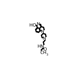 CCC(=O)NCCCN1CCC(N2CCc3cnc(O)c4cccc2c34)CC1